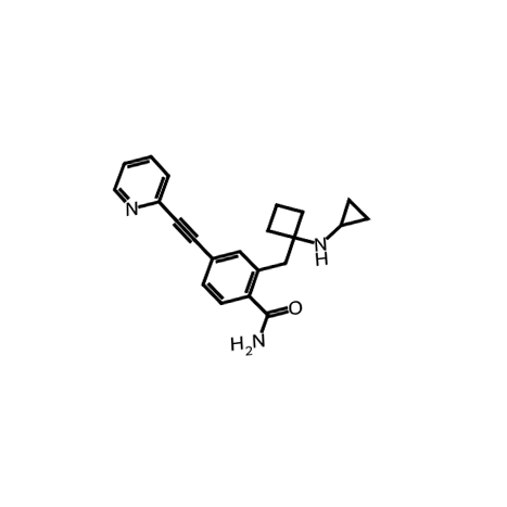 NC(=O)c1ccc(C#Cc2ccccn2)cc1CC1(NC2CC2)CCC1